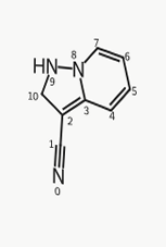 N#CC1=C2C=CC=CN2NC1